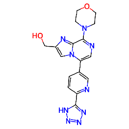 OCc1cn2c(-c3ccc(-c4nnn[nH]4)nc3)cnc(N3CCOCC3)c2n1